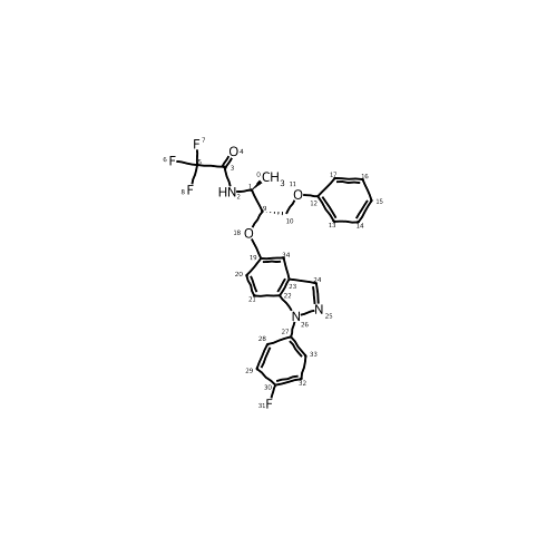 C[C@H](NC(=O)C(F)(F)F)[C@H](COc1ccccc1)Oc1ccc2c(cnn2-c2ccc(F)cc2)c1